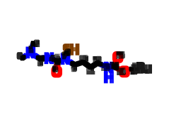 CN(C)C=NC(=O)N(S)CCCCNC(=O)OC(C)(C)C